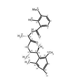 COc1ccnc(C(=O)N[C@@H](C)C(=O)O[C@@H](C)[C@@H](C)c2c(C)cc(F)cc2C)c1O